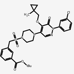 CC1(COc2c(N3CCN(S(=O)(=O)Cc4cccc(C(=O)OC(C)(C)C)c4)CC3)cnn(-c3cccc(Cl)c3)c2=O)CC1